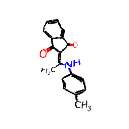 CC(Nc1ccc(C)cc1)=C1C(=O)c2ccccc2C1=O